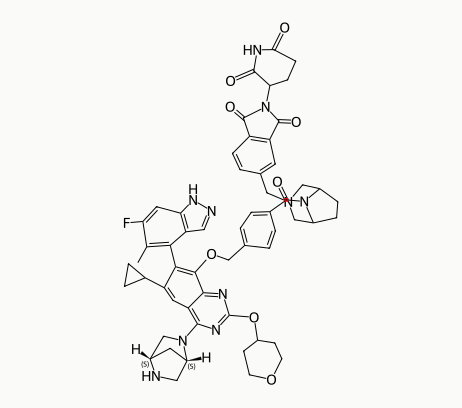 Cc1c(F)cc2[nH]ncc2c1-c1c(C2CC2)cc2c(N3C[C@@H]4C[C@H]3CN4)nc(OC3CCOCC3)nc2c1OCc1ccc(C(=O)N2C3CCC2CN(Cc2ccc4c(c2)C(=O)N(C2CCC(=O)NC2=O)C4=O)C3)cc1